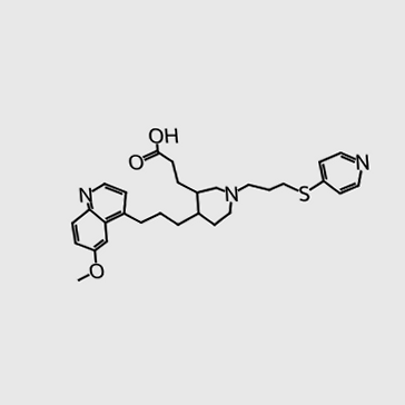 COc1ccc2nccc(CCCC3CCN(CCCSc4ccncc4)CC3CCC(=O)O)c2c1